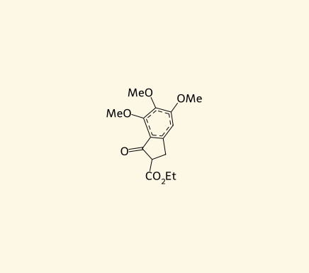 CCOC(=O)C1Cc2cc(OC)c(OC)c(OC)c2C1=O